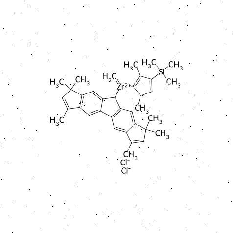 [CH2]=[Zr+2]([C]1=C(C)C([Si](C)(C)C)=CC1C)[CH]1c2cc3c(cc2-c2cc4c(cc21)C(C)(C)C=C4C)C(C)=CC3(C)C.[Cl-].[Cl-]